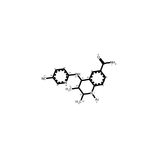 CC(=O)N1c2ccc(C(N)=O)cc2C(Nc2ccc(C#N)cn2)C(C)C1C